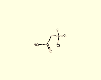 O=C(O)CC(Cl)(Cl)Cl